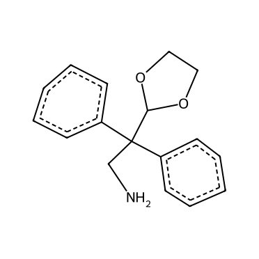 NCC(c1ccccc1)(c1ccccc1)C1OCCO1